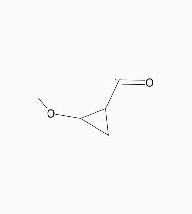 COC1CC1[C]=O